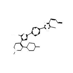 C=C/C=C\c1nc(-c2ccc(-c3cc(C4=C(C5CCC(C)CC5)CN(C)CC4)c(C(=O)O)s3)cc2)[nH]c1C